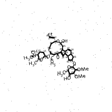 CC/C=C/[C@H]1CCC[C@H](OC2CC[C@H](N(C)C)[C@@H](C)O2)[C@@H](C)C(=O)C2=CC3C(C=CC4C[C@@H](O[C@@H]5O[C@@H](C)[C@H](O)[C@@H](OC)C5OC)CC43)C2CC(O)O1